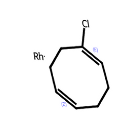 Cl/C1=C/CC/C=C\CC1.[Rh]